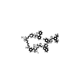 CN(CCN1CCC(OC(=O)Nc2ccccc2-c2ccccc2)CC1)C(=O)CCCCCNc1cccc(C(=O)N(C)CCCN(C)C(=O)CO[C@H]2Cc3ccccc3C23CCN(CC[C@]2(c4ccc(F)cc4)CN(C(=O)c4cc(C(F)(F)F)cc(C(F)(F)F)c4)CO2)CC3)c1